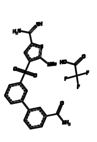 CSc1sc(C(=N)N)cc1S(=O)(=O)c1cccc(-c2cccc(C(N)=O)c2)c1.O=C(O)C(F)(F)F